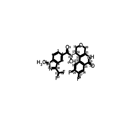 CN(C(=O)c1ccc2c(c1)c(C(F)F)nn2C)[C@@H]1COCc2[nH]c(=O)c3cc(F)c(F)cc3c21